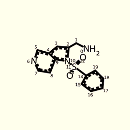 NCc1cc2cnccc2n1S(=O)(=O)c1ccccc1